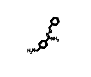 NCc1ccc(C(N)=NOCc2ccccc2)cc1